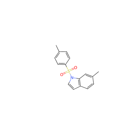 Cc1ccc(S(=O)(=O)n2ccc3ccc(C)cc32)cc1